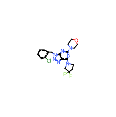 FC1(F)CCN(c2nc(N3CCOCC3)nc3c2nnn3Cc2ccccc2Cl)C1